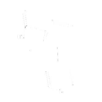 Cc1cnccc1-c1cccc2c1CNC2=O